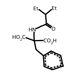 CCC(CC)C(=O)NC(Cc1ccccc1)(C(=O)O)C(=O)O